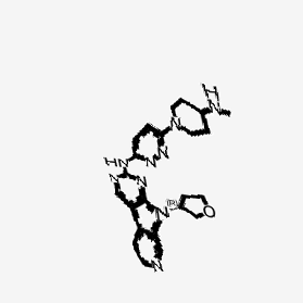 CNC1CCN(c2ccc(Nc3ncc4c5ccncc5n([C@@H]5CCOC5)c4n3)nn2)CC1